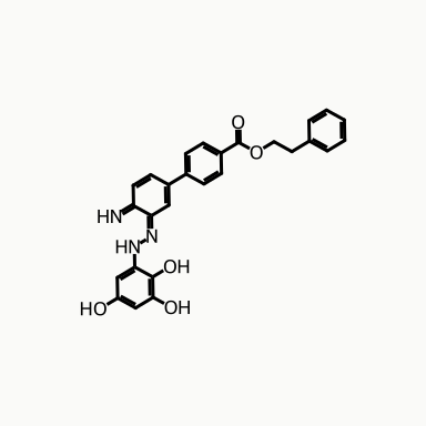 N=C1C=CC(c2ccc(C(=O)OCCc3ccccc3)cc2)=C/C1=N/Nc1cc(O)cc(O)c1O